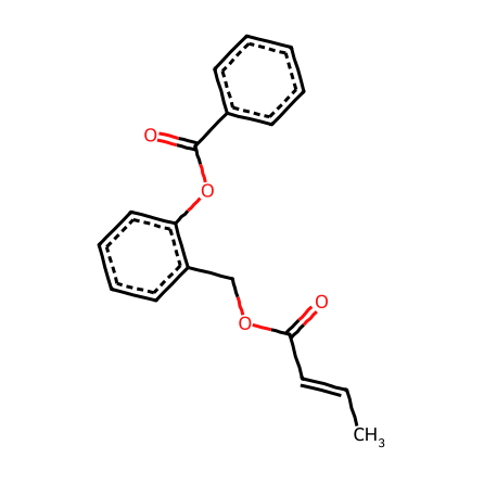 CC=CC(=O)OCc1ccccc1OC(=O)c1ccccc1